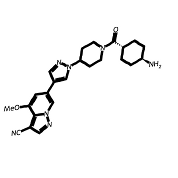 COc1cc(-c2cnn(C3CCN(C(=O)[C@H]4CC[C@H](N)CC4)CC3)c2)cn2ncc(C#N)c12